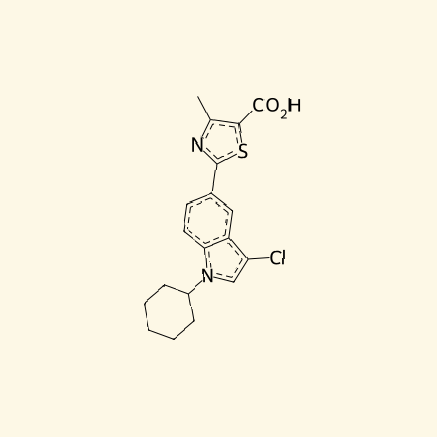 Cc1nc(-c2ccc3c(c2)c(Cl)cn3C2CCCCC2)sc1C(=O)O